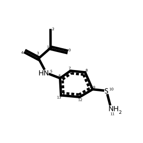 C=C(C)C(=C)Nc1ccc(SN)cc1